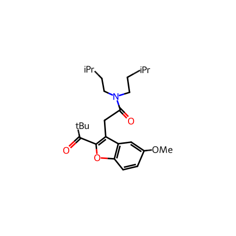 COc1ccc2oc(C(=O)C(C)(C)C)c(CC(=O)N(CCC(C)C)CCC(C)C)c2c1